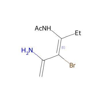 C=C(N)/C(Br)=C(/CC)NC(C)=O